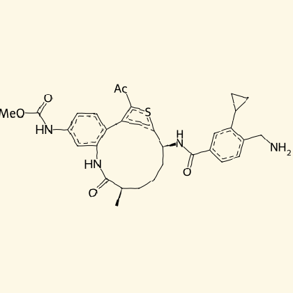 COC(=O)Nc1ccc2c(c1)NC(=O)[C@H](C)CCC[C@H](NC(=O)c1ccc(CN)c(C3CC3)c1)c1cc-2c(C(C)=O)s1